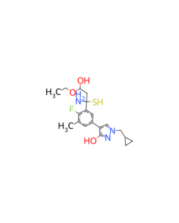 CCOC(O)CC(N)(S)c1cc(-c2cn(CC3CC3)nc2O)cc(C)c1F